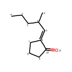 CCCC(C)/C=C1\CCCC1=O